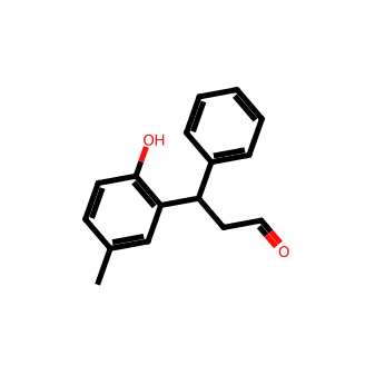 Cc1ccc(O)c(C(CC=O)c2ccccc2)c1